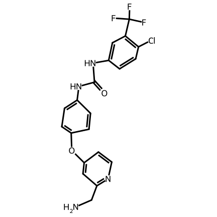 NCc1cc(Oc2ccc(NC(=O)Nc3ccc(Cl)c(C(F)(F)F)c3)cc2)ccn1